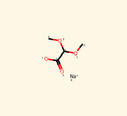 COC(OC)C(=O)[O-].[Na+]